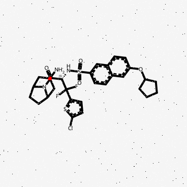 NC1CC2CCC(C1)N2C(=O)[C@H](NS(=O)(=O)c1ccc2cc(OC3CCCC3)ccc2c1)C(F)(F)c1ccc(Cl)s1